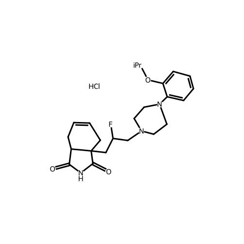 CC(C)Oc1ccccc1N1CCN(CC(F)CC23CC=CCC2C(=O)NC3=O)CC1.Cl